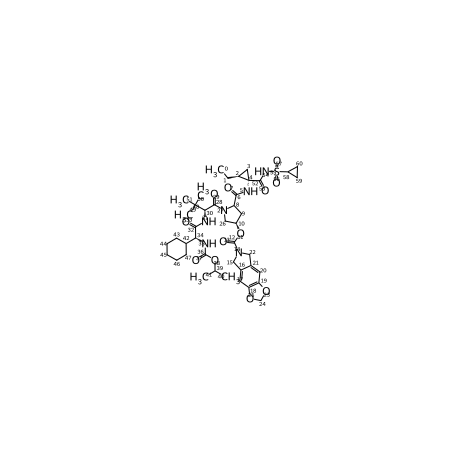 CC[C@H]1C[C@@]1(NC(=O)C1C[C@@H](OC(=O)N2Cc3cc4c(cc3C2)OCO4)CN1C(=O)[C@@H](NC(=O)[C@@H](NC(=O)OC(C)C)C1CCCCC1)C(C)(C)C)C(=O)NS(=O)(=O)C1CC1